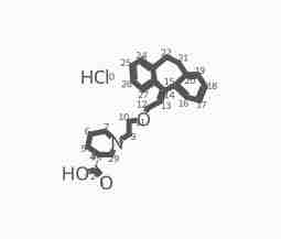 Cl.O=C(O)[C@@H]1CCCN(CCOCC=C2c3ccccc3CCc3ccccc32)C1